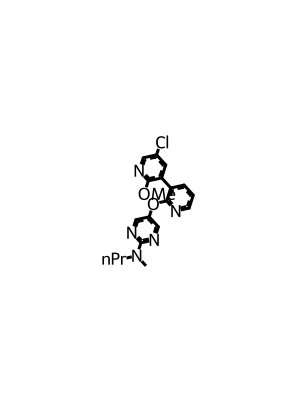 CCCN(C)c1ncc(Oc2ncccc2-c2cc(Cl)cnc2OC)cn1